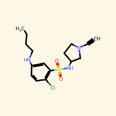 C#CN1CCC(NS(=O)(=O)c2cc(NCCCC)ccc2Cl)C1